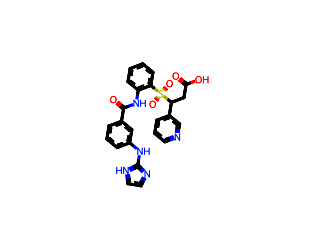 O=C(O)CC(c1cccnc1)S(=O)(=O)c1ccccc1NC(=O)c1cccc(Nc2ncc[nH]2)c1